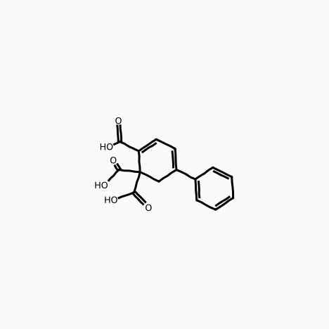 O=C(O)C1=CC=C(c2ccccc2)CC1(C(=O)O)C(=O)O